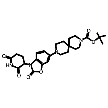 CC(C)(C)OC(=O)N1CCC2(CC1)CCN(c1ccc3c(c1)oc(=O)n3C1CCC(=O)NC1=O)CC2